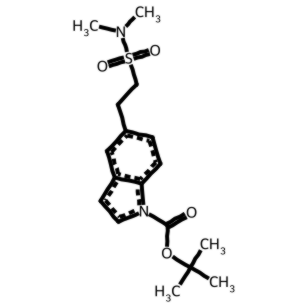 CN(C)S(=O)(=O)CCc1ccc2c(ccn2C(=O)OC(C)(C)C)c1